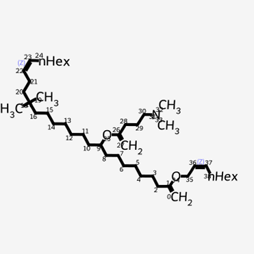 C=C(CCCCCCCC(CCCCCCCC(C)(C)CC/C=C\CCCCCC)OC(=C)CCCN(C)C)OC/C=C\CCCCCC